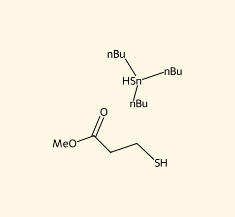 CCC[CH2][SnH]([CH2]CCC)[CH2]CCC.COC(=O)CCS